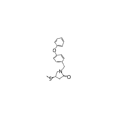 CS[C@@H]1CC(=O)N(Cc2ccc(Oc3ccccc3)cc2)C1